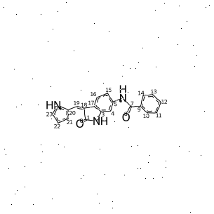 O=C1Nc2cc(NC(=O)c3ccccc3)ccc2C1=Cc1ccc[nH]1